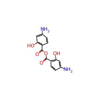 Nc1ccc(C(=O)OC(=O)c2ccc(N)cc2O)c(O)c1